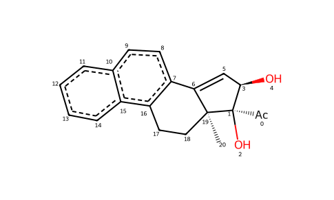 CC(=O)[C@@]1(O)[C@H](O)C=C2c3ccc4ccccc4c3CC[C@@]21C